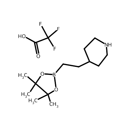 CC1(C)OB(CCC2CCNCC2)OC1(C)C.O=C(O)C(F)(F)F